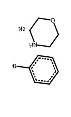 C1COCCN1.[B]c1ccccc1.[Na]